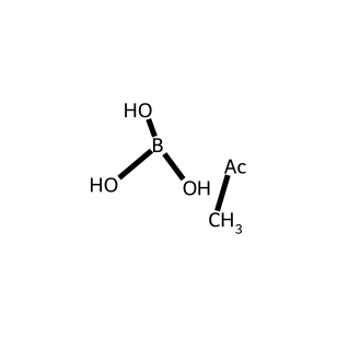 CC(C)=O.OB(O)O